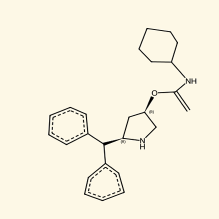 C=C(NC1CCCCC1)O[C@H]1CN[C@@H](C(c2ccccc2)c2ccccc2)C1